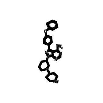 Nc1ncnc2c1c(-c1ccc(Oc3ccccc3)cc1)nn2C1CCCN(C2CCNCC2)C1